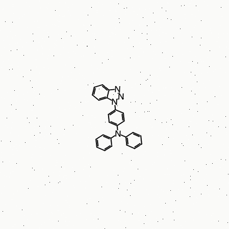 c1ccc(N(c2ccccc2)c2ccc(-n3nnc4ccccc43)cc2)cc1